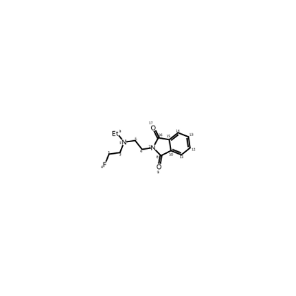 CCN(CCF)CCN1C(=O)c2ccccc2C1=O